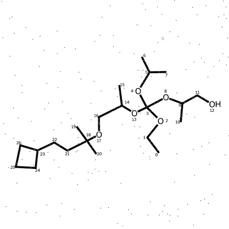 CCOC(OC(C)C)(OC(C)CO)OC(C)COC(C)(C)CCC1CCC1